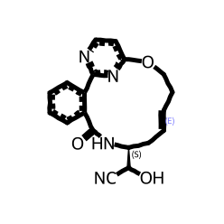 N#CC(O)[C@@H]1C/C=C/CCOc2ccnc(n2)-c2ccccc2C(=O)N1